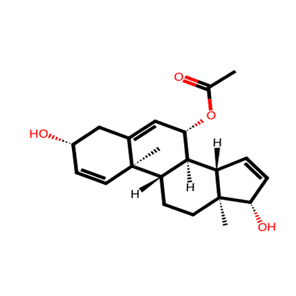 CC(=O)O[C@H]1C=C2C[C@@H](O)C=C[C@]2(C)[C@H]2CC[C@]3(C)[C@@H](O)C=C[C@H]3[C@H]12